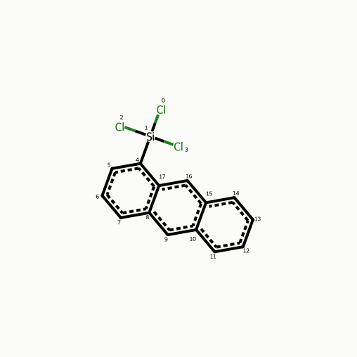 Cl[Si](Cl)(Cl)c1cccc2cc3ccccc3cc12